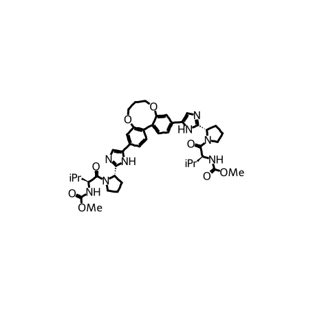 COC(=O)N[C@H](C(=O)N1CCC[C@H]1c1ncc(-c2ccc3c(c2)OCCCOc2cc(-c4cnc([C@@H]5CCCN5C(=O)[C@@H](NC(=O)OC)C(C)C)[nH]4)ccc2-3)[nH]1)C(C)C